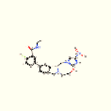 CCNC(=O)c1cc(-c2ccc(CN3CCOc4nc([N+](=O)[O-])cn4CC3)cc2)ccc1F